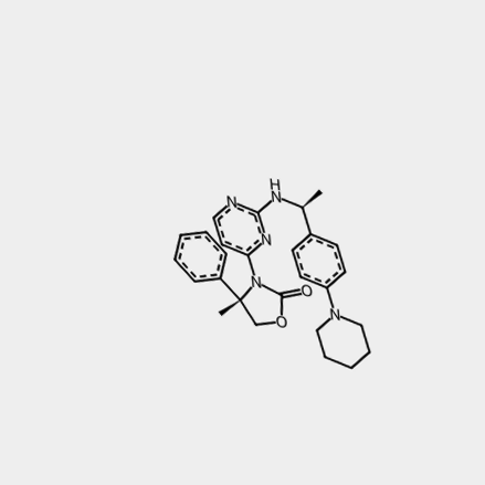 C[C@H](Nc1nccc(N2C(=O)OC[C@]2(C)c2ccccc2)n1)c1ccc(N2CCCCC2)cc1